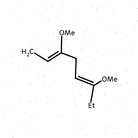 [CH2]C=C(CC=C(CC)OC)OC